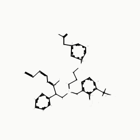 C=C/C=C\C=C(/C)C(CN(CCCOc1cccc(CC(=O)O)c1)Cc1cccc(C(F)(F)F)c1Cl)c1ccccc1